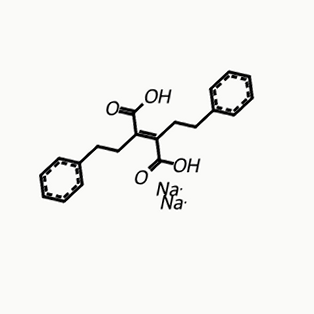 O=C(O)C(CCc1ccccc1)=C(CCc1ccccc1)C(=O)O.[Na].[Na]